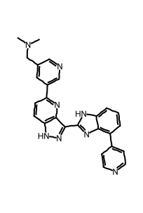 CN(C)Cc1cncc(-c2ccc3[nH]nc(-c4nc5c(-c6ccncc6)cccc5[nH]4)c3n2)c1